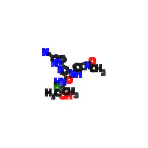 CC(=O)N1Cc2ccc(Nc3cc(-c4ccc5cc(C#N)cnn45)ncc3C(=O)NCC(F)C(C)(C)O)cc2C1